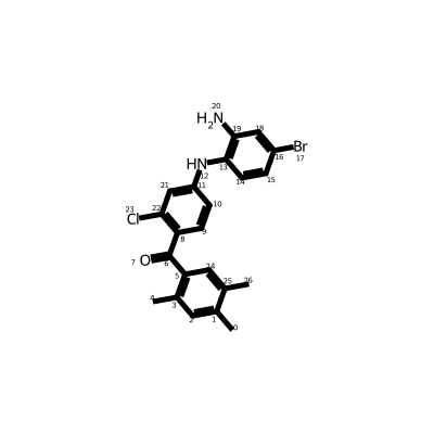 Cc1cc(C)c(C(=O)c2ccc(Nc3ccc(Br)cc3N)cc2Cl)cc1C